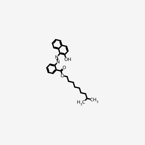 CC(C)CCCCCCCOC(=O)c1ccccc1/N=N/c1c(O)ccc2ccccc12